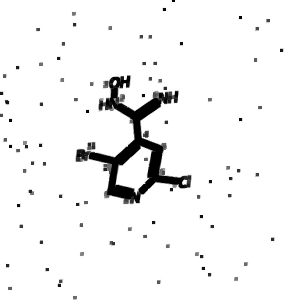 N=C(NO)c1cc(Cl)ncc1Br